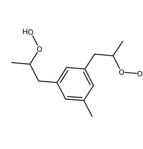 Cc1cc(CC(C)OO)cc(CC(C)OO)c1